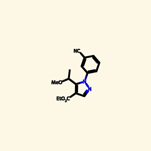 CCOC(=O)c1cnn(-c2cccc(C#N)c2)c1C(C)OC